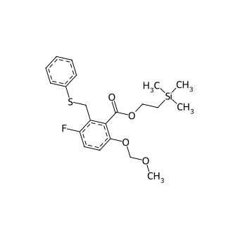 COCOc1ccc(F)c(CSc2ccccc2)c1C(=O)OCC[Si](C)(C)C